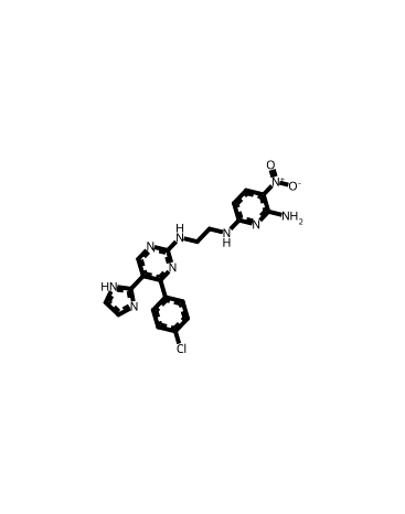 Nc1nc(NCCNc2ncc(-c3ncc[nH]3)c(-c3ccc(Cl)cc3)n2)ccc1[N+](=O)[O-]